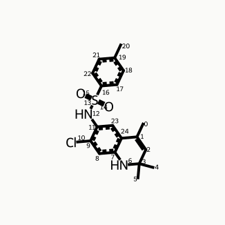 CC1=CC(C)(C)Nc2cc(Cl)c(NS(=O)(=O)c3ccc(C)cc3)cc21